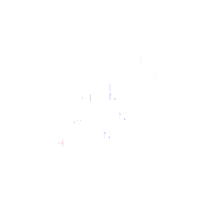 Cc1[se]c(C(O)=S)c2ncnc(Nc3ccc(F)c(Cl)c3)c12